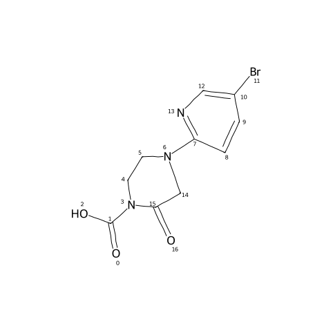 O=C(O)N1CCN(c2ccc(Br)cn2)CC1=O